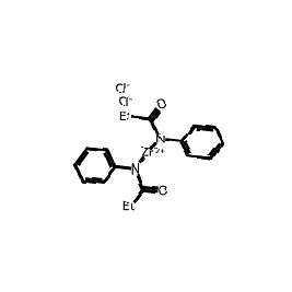 CCC(=O)[N]([Zr+2][N](C(=O)CC)c1ccccc1)c1ccccc1.[Cl-].[Cl-]